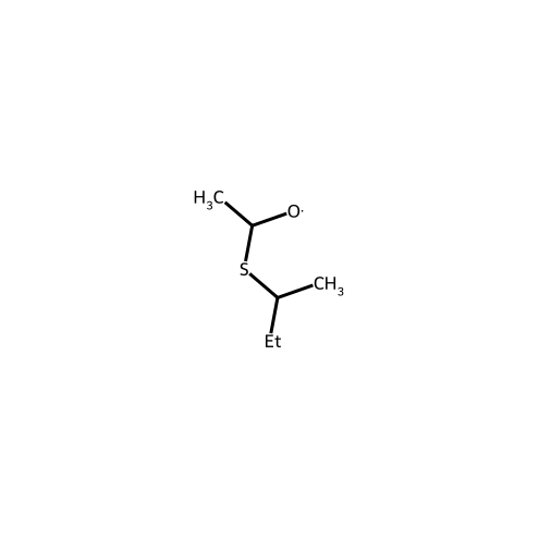 CCC(C)SC(C)[O]